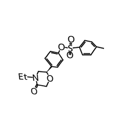 CCN1C[C@@H](c2ccc(OS(=O)(=O)c3ccc(C)cc3)cc2)OCC1=O